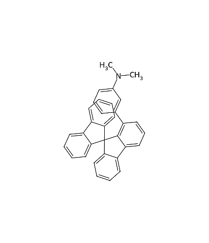 CN(C)c1cccc(-c2cccc3c2C2(c4ccccc4-c4ccccc42)c2ccccc2-3)c1